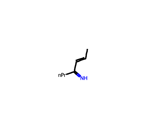 C/C=C/C(=N)CCC